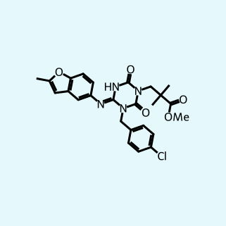 COC(=O)C(C)(C)Cn1c(=O)[nH]/c(=N\c2ccc3oc(C)cc3c2)n(Cc2ccc(Cl)cc2)c1=O